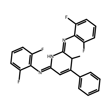 CC1C(c2ccccc2)=CC(=Nc2c(F)cccc2F)NC1=Nc1c(F)cccc1F